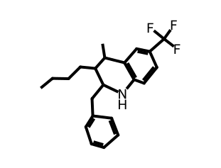 CCCCC1C(Cc2ccccc2)Nc2ccc(C(F)(F)F)cc2C1C